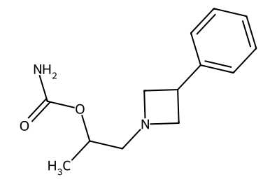 CC(CN1CC(c2ccccc2)C1)OC(N)=O